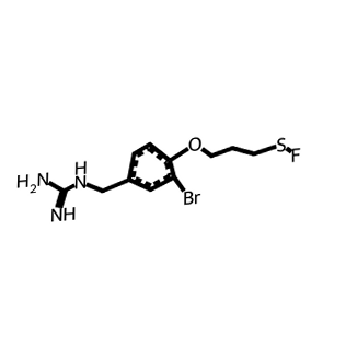 N=C(N)NCc1ccc(OCCCSF)c(Br)c1